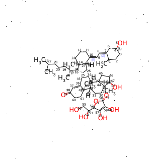 C=C1CC[C@H](O)C/C1=C/C=C1\CCC[C@]2(C)[C@@H]([C@H](C)CCCC(C)C)CC[C@@H]12.C[C@]12CC[C@H]3[C@@H](CCC4=CC(=O)CC[C@@]43C)[C@@H]1CC[C@H]2O.O=C1O[C@H]([C@@H](O)CO)C(O)=C1O